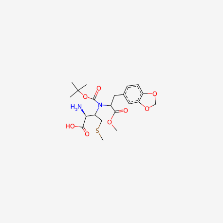 COC(=O)C(Cc1ccc2c(c1)OCO2)N(C(=O)OC(C)(C)C)C(CSC)[C@H](N)C(=O)O